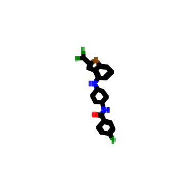 O=C(NC1CCC(Nc2cccc3sc(C(F)F)cc23)CC1)c1ccc(F)cc1